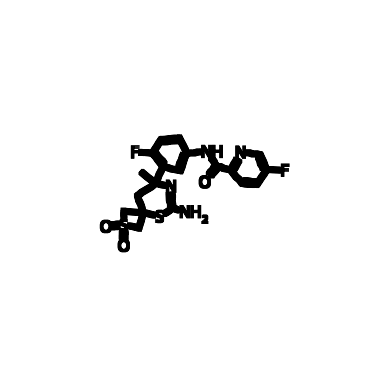 CC1(c2cc(NC(=O)c3ccc(F)cn3)ccc2F)CC2(CS(=O)(=O)C2)SC(N)=N1